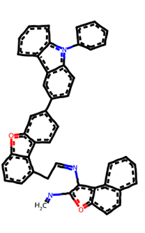 C=Nc1oc2ccc3ccccc3c2c1/N=C\Cc1cccc2oc3cc(-c4ccc5c(c4)c4ccccc4n5-c4ccccc4)ccc3c12